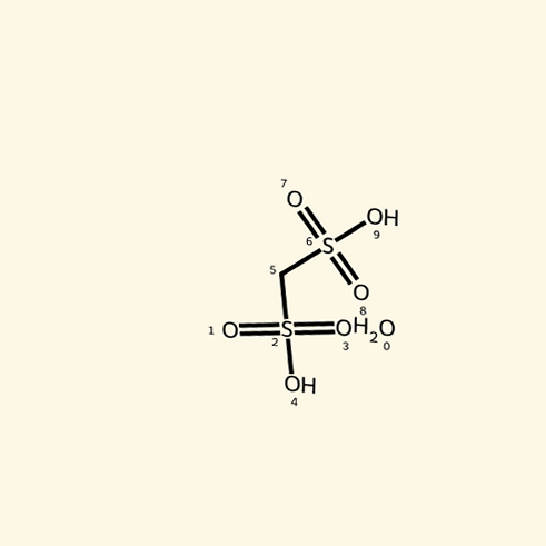 O.O=S(=O)(O)CS(=O)(=O)O